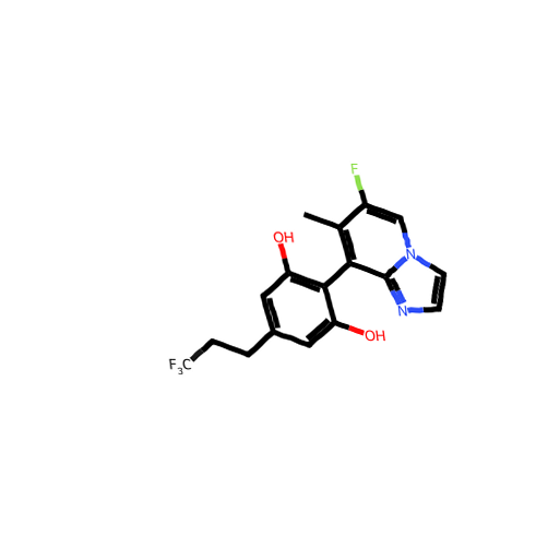 Cc1c(F)cn2ccnc2c1-c1c(O)cc(CCC(F)(F)F)cc1O